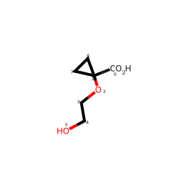 O=C(O)C1(OCCO)CC1